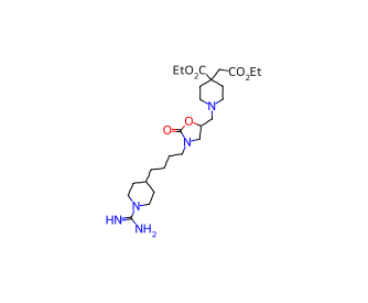 CCOC(=O)CC1(C(=O)OCC)CCN(CC2CN(CCCCC3CCN(C(=N)N)CC3)C(=O)O2)CC1